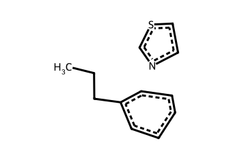 CCCc1ccccc1.c1cscn1